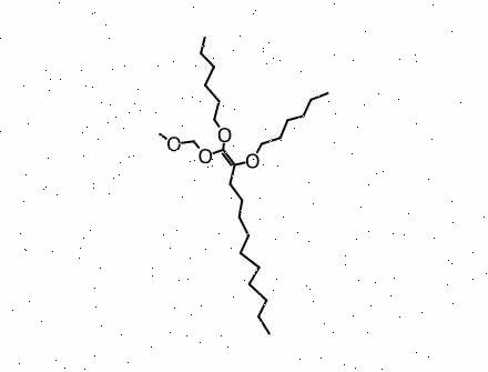 CCCCCCCCCCC(OCCCCCC)=C(OCCCCCC)OCOC